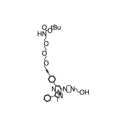 Cc1nn2c(N3CCN(CCO)CC3)cc(-c3ccc(C#CCOCCOCCOCCNC(=O)OC(C)(C)C)cc3)nc2c1-c1ccccc1